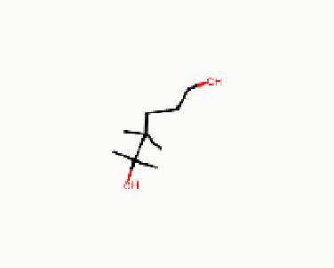 CC(C)(O)C(C)(C)CCCO